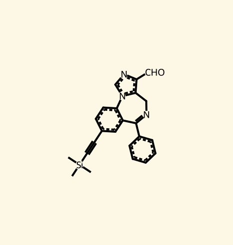 C[Si](C)(C)C#Cc1ccc2c(c1)C(c1ccccc1)=NCc1c(C=O)ncn1-2